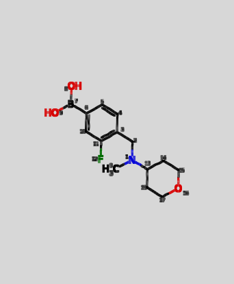 CN(Cc1ccc(B(O)O)cc1F)C1CCOCC1